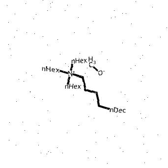 CCCCCCCCCCCCCC[N+](CCCCCC)(CCCCCC)CCCCCC.C[O-]